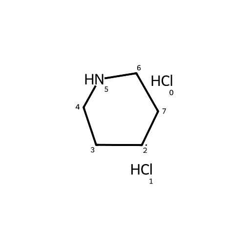 Cl.Cl.[CH]1CCNCC1